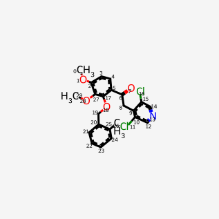 COc1ccc(C(=O)Cc2c(Cl)cncc2Cl)c(OCc2ccccc2C)c1OC